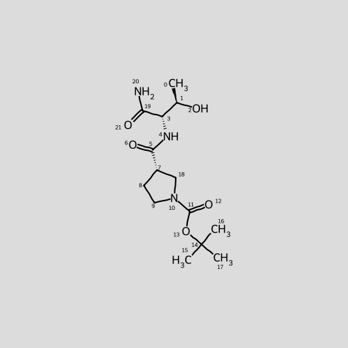 C[C@@H](O)[C@H](NC(=O)[C@H]1CCN(C(=O)OC(C)(C)C)C1)C(N)=O